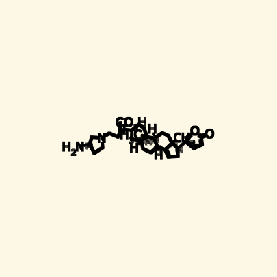 C[C@]12CCC(N(CCN3CC[C@@H](N)C3)C(=O)O)C[C@H]1CC[C@H]1C3=CC[C@H](c4ccc(=O)oc4)[C@@]3(C)CC[C@@H]12